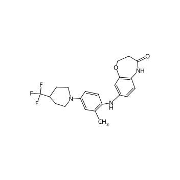 Cc1cc(N2CCC(C(F)(F)F)CC2)ccc1Nc1ccc2c(c1)OCCC(=O)N2